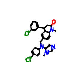 CN1C(=O)CC(c2cccc(Cl)c2)c2cc(CN(c3ccc(Cl)cc3)c3cncn3C)ccc21